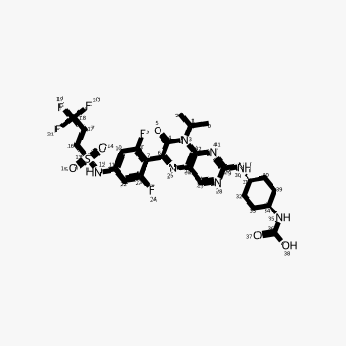 CC(C)n1c(=O)c(-c2c(F)cc(NS(=O)(=O)CCC(F)(F)F)cc2F)nc2cnc(N[C@H]3CC[C@H](NC(=O)O)CC3)nc21